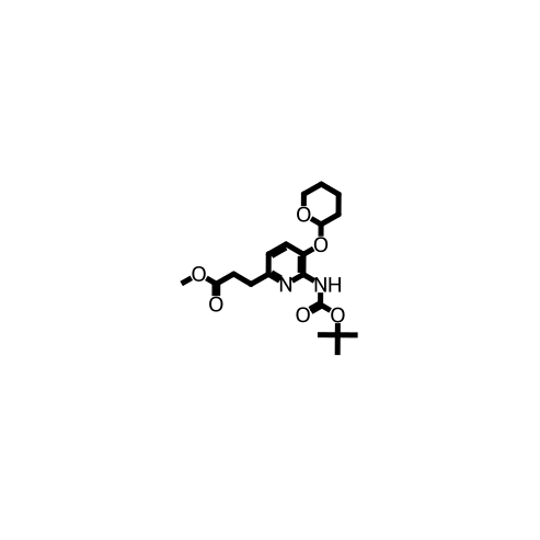 COC(=O)CCc1ccc(OC2CCCCO2)c(NC(=O)OC(C)(C)C)n1